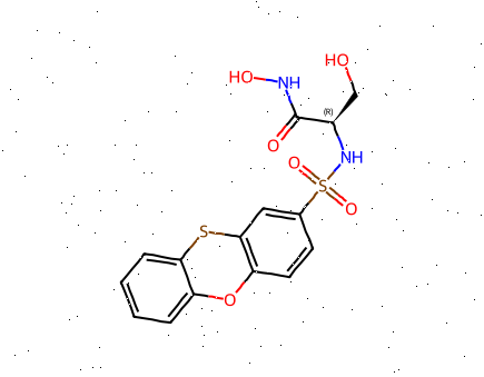 O=C(NO)[C@@H](CO)NS(=O)(=O)c1ccc2c(c1)Sc1ccccc1O2